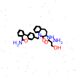 NC(=O)c1ccccc1-c1ccc(CN2C(=O)[C@H](NC(=O)[C@H](N)CO)CCc3ccccc32)cc1